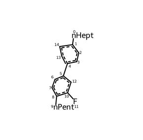 CCCCCCCc1ccc(-c2ccc(CCCCC)c(F)c2)cc1